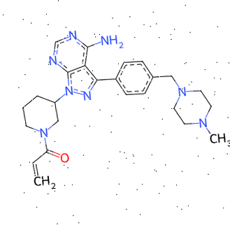 C=CC(=O)N1CCCC(n2nc(-c3ccc(CN4CCN(C)CC4)cc3)c3c(N)ncnc32)C1